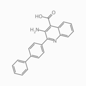 Nc1c(-c2ccc(-c3ccccc3)cc2)nc2ccccc2c1C(=O)O